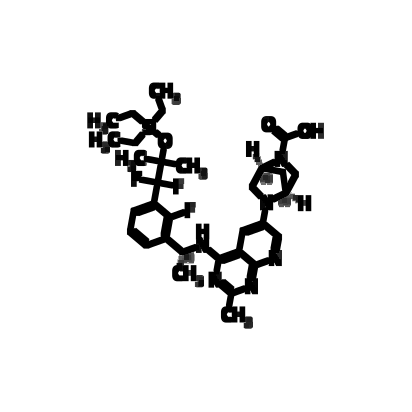 CC[Si](CC)(CC)OC(C)(C)C(F)(F)c1cccc([C@@H](C)Nc2nc(C)nc3ncc(N4C[C@@H]5C[C@H]4CN5C(=O)O)cc23)c1F